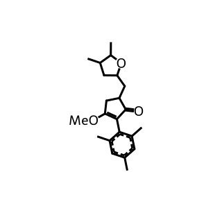 COC1=C(c2c(C)cc(C)cc2C)C(=O)C(CC2CC(C)C(C)O2)C1